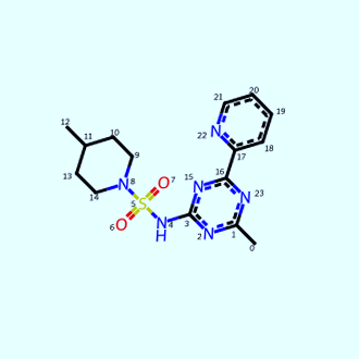 Cc1nc(NS(=O)(=O)N2CCC(C)CC2)nc(-c2ccccn2)n1